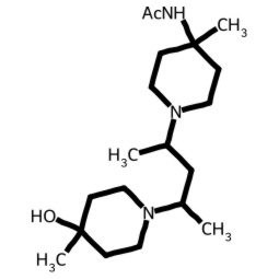 CC(=O)NC1(C)CCN(C(C)CC(C)N2CCC(C)(O)CC2)CC1